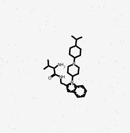 CC(C)C1CCC(N2CCC(n3c(CNC(=O)C(N)C(C)C)cc4ccccc43)CC2)CC1